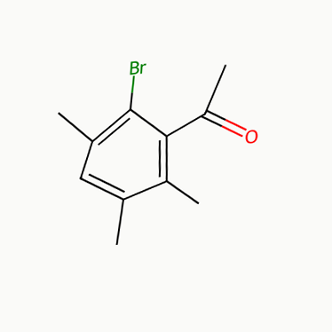 CC(=O)c1c(C)c(C)cc(C)c1Br